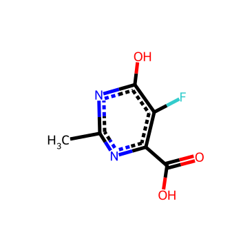 Cc1nc(O)c(F)c(C(=O)O)n1